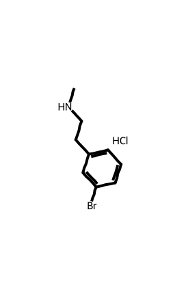 CNCCc1cccc(Br)c1.Cl